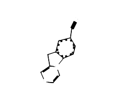 N#Cc1ccc2c(c1)CC1=CNC=CN12